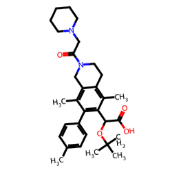 Cc1ccc(-c2c(C)c3c(c(C)c2C(OC(C)(C)C)C(=O)O)CCN(C(=O)CN2CCCCC2)C3)cc1